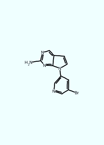 Nc1ncc2ccn(-c3cncc(Br)c3)c2n1